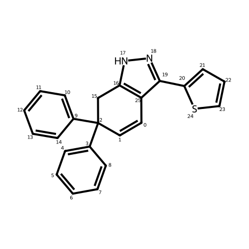 C1=CC(c2ccccc2)(c2ccccc2)Cc2[nH]nc(-c3cccs3)c21